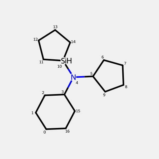 C1CCC(N(C2CCCC2)[SiH]2CCCC2)CC1